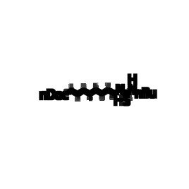 CCCCCCCCCCCCCCCCCC/N=C(\S)NCCCC